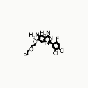 Nc1cc2c(N)nc(-c3cc(Cl)c(Cl)cc3F)nc2cc1OCCOCCF